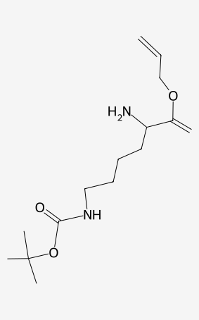 C=CCOC(=C)C(N)CCCCNC(=O)OC(C)(C)C